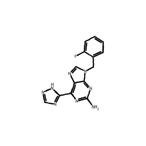 Nc1nc(-c2ncn[nH]2)c2ncn(Cc3ccccc3F)c2n1